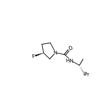 CC(C)[C@@H](C)NC(=O)N1CC[C@H](F)C1